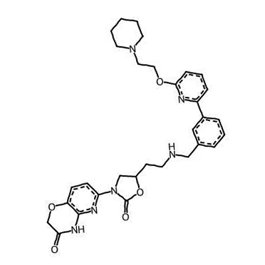 O=C1COc2ccc(N3CC(CCNCc4cccc(-c5cccc(OCCN6CCCCC6)n5)c4)OC3=O)nc2N1